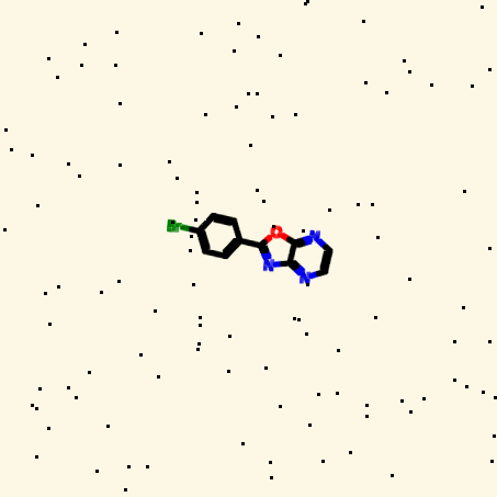 Brc1ccc(-c2nc3nccnc3o2)cc1